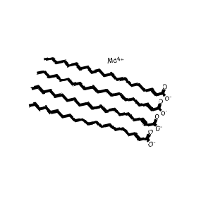 CCCCCCCCCCCCCCCCCC=CC(=O)[O-].CCCCCCCCCCCCCCCCCC=CC(=O)[O-].CCCCCCCCCCCCCCCCCC=CC(=O)[O-].CCCCCCCCCCCCCCCCCC=CC(=O)[O-].[Mo+4]